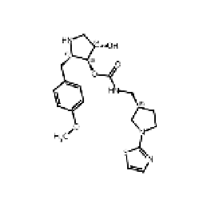 COc1ccc(C[C@H]2NC[C@H](O)[C@H]2OC(=O)NC[C@H]2CCN(c3nccs3)C2)cc1